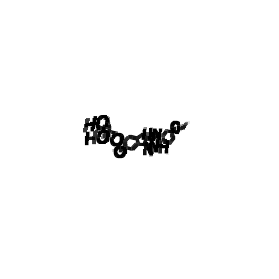 CCOc1cccc(Nc2[nH]nc3c2Cc2cc(OCC(O)CO)c(OC)cc2-3)c1